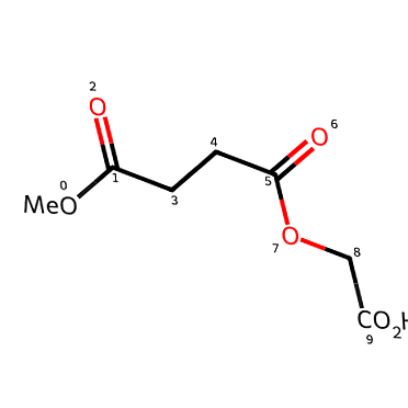 COC(=O)CCC(=O)OCC(=O)O